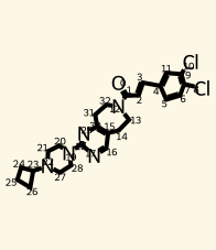 O=C(C=Cc1ccc(Cl)c(Cl)c1)N1CCc2cnc(N3CCN(C4CCC4)CC3)nc2CC1